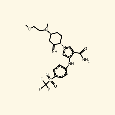 COCCN(C)[C@H]1CC[C@H](n2cc(C(N)=O)c(Nc3ccc(S(=O)(=O)C(F)(F)F)cc3)n2)C(=N)C1